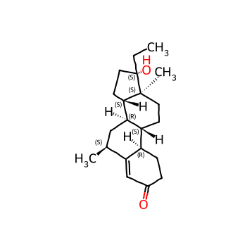 CC[C@]1(O)CC[C@H]2[C@@H]3C[C@H](C)C4=CC(=O)CC[C@@H]4[C@H]3CC[C@@]21CC